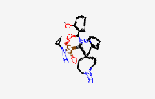 COc1ccccc1C(=O)NC(C1(c2ccccc2)CCCNCC1)S(=O)(=O)NC1CC1